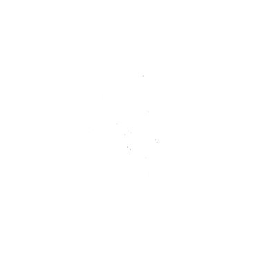 Cc1[nH]c2nc(I)nn2c(=O)c1C